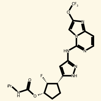 CC(C)NC(=O)O[C@H]1CC[C@@H](c2cc(Nc3nccc4nc(OC(F)(F)F)cn34)n[nH]2)[C@H]1F